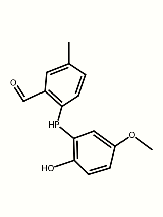 COc1ccc(O)c(Pc2ccc(C)cc2C=O)c1